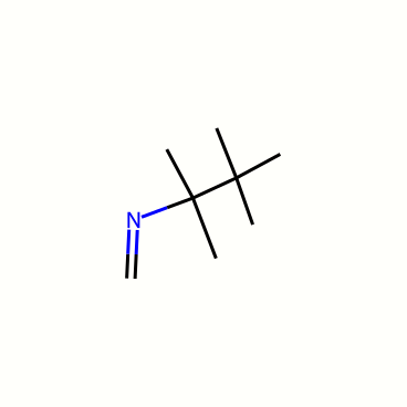 C=NC(C)(C)C(C)(C)C